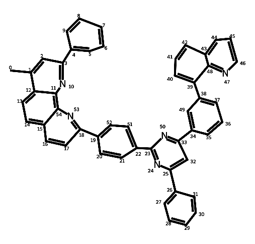 Cc1cc(-c2ccccc2)nc2c1ccc1ccc(-c3ccc(-c4nc(-c5ccccc5)cc(-c5cccc(-c6cccc7cccnc67)c5)n4)cc3)nc12